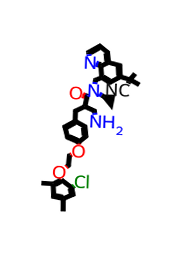 Cc1cc(C)c(OCCOc2ccc(CC(CN)C(=O)N(Cc3cc(C(C)(C)C#N)cc4cccnc34)C3CC3)cc2)c(Cl)c1